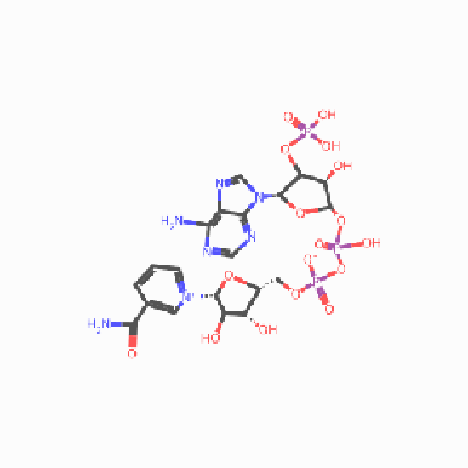 NC(=O)c1ccc[n+]([C@@H]2O[C@H](COP(=O)([O-])OP(=O)(O)O[C@H]3O[C@@H](n4cnc5c(N)ncnc54)C(OP(=O)(O)O)[C@H]3O)[C@H](O)C2O)c1